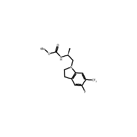 C[C@@H](CN1CCc2cc(F)c(C(F)(F)F)cc21)NC(=O)OC(C)(C)C